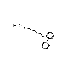 CCCCCCCCCc1ccc[c]c1-c1ccccc1